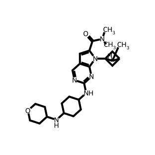 C[C@@H]1C2CC1(n1c(C(=O)N(C)C)cc3cnc(NC4CCC(NC5CCOCC5)CC4)nc31)C2